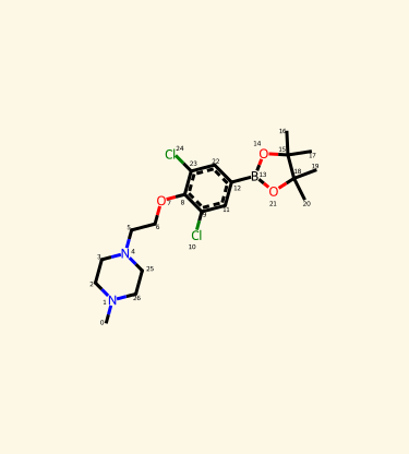 CN1CCN(CCOc2c(Cl)cc(B3OC(C)(C)C(C)(C)O3)cc2Cl)CC1